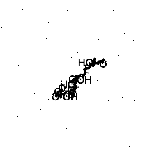 CCC(/C=C/C(C)=O)=C\[C@H](O)C[C@H](C)C[C@@H](C)CC[C@H](O)[C@H](C)C(=O)C[C@@H](O)[C@H](C)[C@@H](C)OC(=O)C[C@@H](O)C1=C(C)C(=O)OC1=O